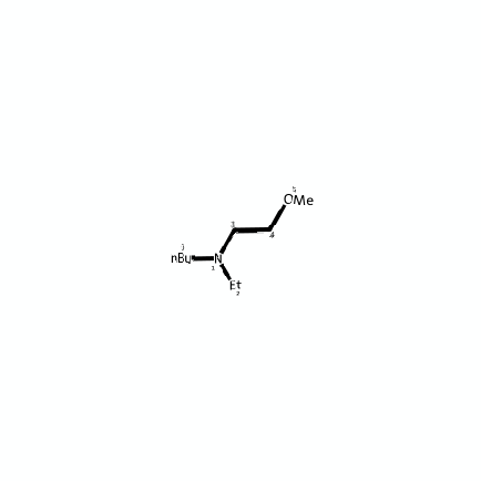 CCCCN(CC)CCOC